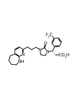 O=C(O)C[C@@H](c1cccc(C(F)(F)F)c1)N1CCN(CCCc2ccc3c(n2)NCCCC3)C1=O